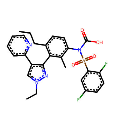 CCCc1ccc(N(C(=O)O)S(=O)(=O)c2cc(F)ccc2F)c(C)c1-c1nn(CC)cc1-c1ccccn1